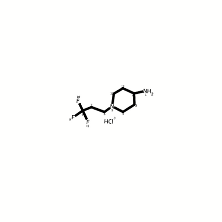 Cl.NC1CCN(CCC(F)(F)F)CC1